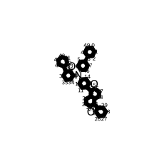 c1ccc(-c2ccc(N(c3ccc4c(c3)oc3ccc5c(ccc6oc7ccccc7c65)c34)c3cccc4c3oc3ccccc34)cc2)cc1